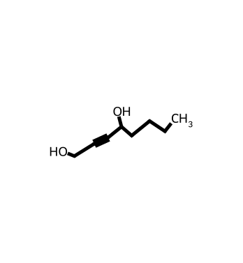 CCCCC(O)C#CCO